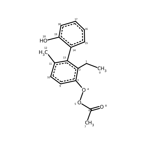 CCc1c(OOC(C)=O)ccc(C)c1-c1ccccc1O